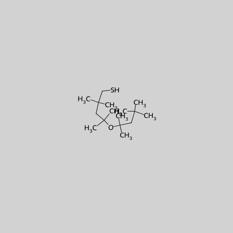 CC(C)(C)CC(C)(C)OC(C)(C)CC(C)(C)CS